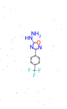 NNc1nc(-c2ccc(C(F)(F)F)cc2)no1